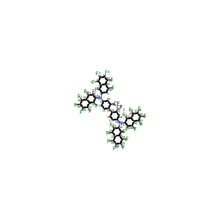 Fc1c(F)c(F)c2c(F)c(N(c3ccc(-c4ccc(N(c5c(F)c(F)c6c(F)c(F)c(F)c(F)c6c5F)c5c(F)c(F)c6c(F)c(F)c(F)c(F)c6c5F)cc4C(F)(F)F)c(C(F)(F)F)c3)c3c(F)c(F)c4c(F)c(F)c(F)c(F)c4c3F)cc(F)c2c1F